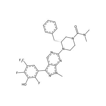 CN(C)C(=O)N1CCN(c2ncc3c(-c4cc(C(F)(F)F)c(F)c(O)c4F)nn(C)c3n2)[C@H](Cc2ccccc2)C1